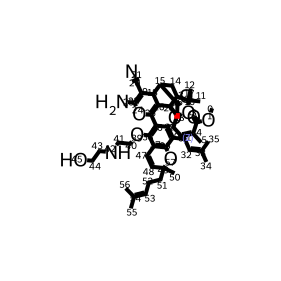 COC(=O)/C(C)=C\CC12OC(C)(C)C3CC(C1=O)C1C(C#N)=C(N)OC4=C1C32Oc1c(CC=C(C)C)c2c(c(OCCNCCO)c14)C=CC(C)(CCC=C(C)C)O2